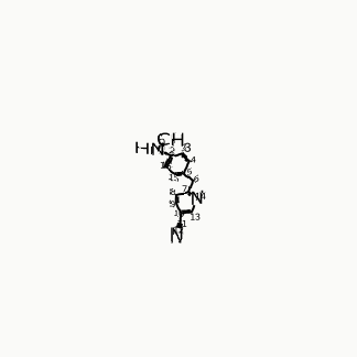 CNc1ccc(Cc2ccc(C#N)cn2)cc1